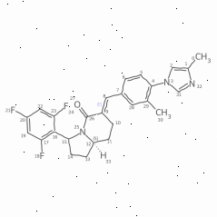 Cc1cn(-c2ccc(/C=C3\CC[C@H]4CCC(c5c(F)cc(F)cc5F)N4C3=O)cc2C)cn1